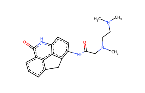 CN(C)CCN(C)CC(=O)Nc1ccc2[nH]c(=O)c3cccc4c3c2c1C4